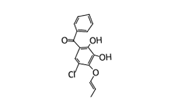 CC=COc1c(Cl)cc(C(=O)c2ccccc2)c(O)c1O